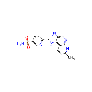 Cc1ccc2c(NCc3ccc(S(N)(=O)=O)cn3)c(N)cnc2n1